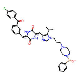 CC(C)c1c(/C=c2\[nH]c(=O)/c(=C/c3cccc(C(=O)c4ccc(F)cc4)c3)[nH]c2=O)ncn1CCCN1CCN([S+]([O-])c2ccccc2)CC1